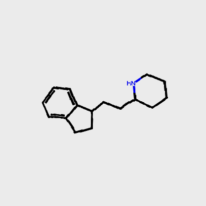 c1ccc2c(c1)CCC2CCC1CCCCN1